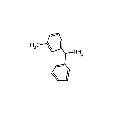 Cc1cccc([C@@H](N)c2ccccc2)c1